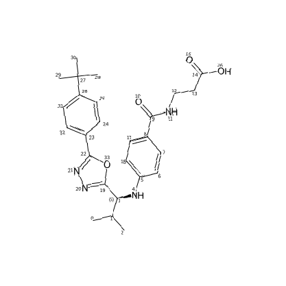 CC(C)[C@H](Nc1ccc(C(=O)NCCC(=O)O)cc1)c1nnc(-c2ccc(C(C)(C)C)cc2)o1